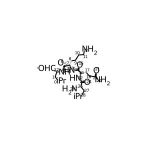 CC(C)C[C@@H]([C]=O)NC(=O)[C@H](CCCCN)NC(=O)[C@H](CCC(N)=O)NC(=O)[C@@H](N)CC(C)C